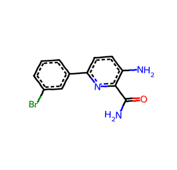 NC(=O)c1nc(-c2cccc(Br)c2)ccc1N